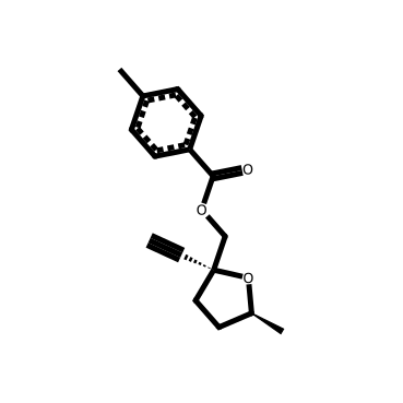 C#C[C@@]1(COC(=O)c2ccc(C)cc2)CC[C@H](C)O1